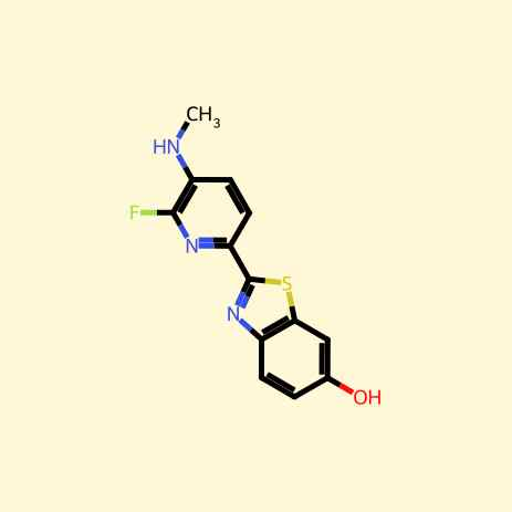 CNc1ccc(-c2nc3ccc(O)cc3s2)nc1F